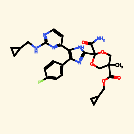 CC1(C(=O)OCC2CC2)COC(C(N)=O)(c2nc(-c3ccc(F)cc3)c(-c3ccnc(NCC4CC4)n3)[nH]2)OC1